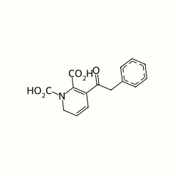 O=C(O)C1=C(C(=O)Cc2ccccc2)C=CCN1C(=O)O